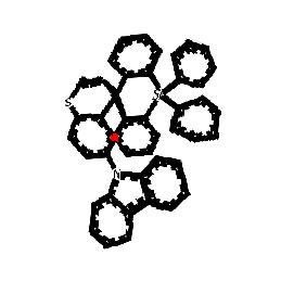 c1ccc([Si]2(c3ccccc3)c3ccccc3C3(c4ccccc4Sc4ccc(-n5c6ccccc6c6ccccc65)cc43)c3ccccc32)cc1